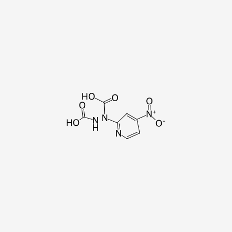 O=C(O)NN(C(=O)O)c1cc([N+](=O)[O-])ccn1